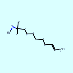 CCCCCCCC/C=C/CCCCCCC(C)(C)[N]CC